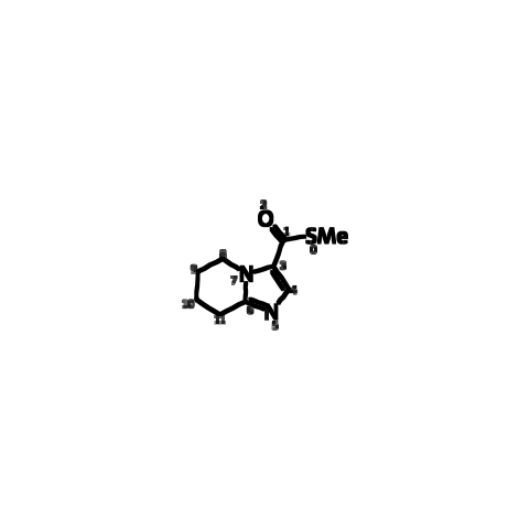 CSC(=O)c1cnc2n1CCCC2